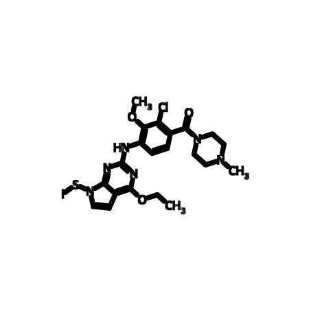 CCOc1nc(Nc2ccc(C(=O)N3CCN(C)CC3)c(Cl)c2OC)nc2c1ccn2SI